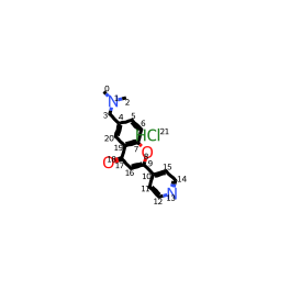 CN(C)Cc1ccc2oc(-c3ccncc3)cc(=O)c2c1.Cl